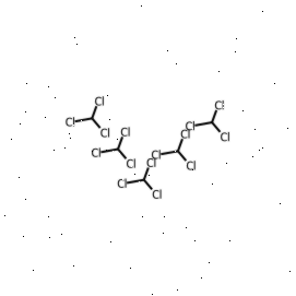 ClC(Cl)Cl.ClC(Cl)Cl.ClC(Cl)Cl.ClC(Cl)Cl.ClC(Cl)Cl